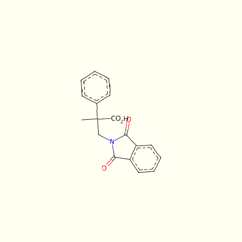 CC(CN1C(=O)c2ccccc2C1=O)(C(=O)O)c1ccccc1